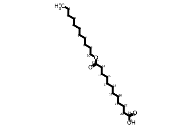 CCCCCCCCCCCOC(=O)CCCCCCCCCCC(=O)O